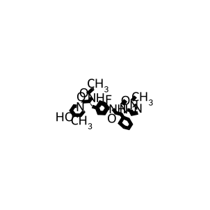 CCC(=O)N[C@H](Cc1ccc(NC(=O)[C@H](C2CCCCC2)N(C=O)c2ccnn2CC)c(F)c1)C(=O)N1CCC(C)(O)CC1